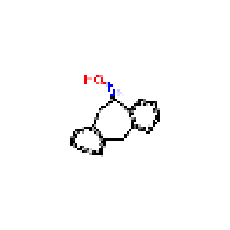 O/N=C1\Cc2ccccc2Cc2ccccc21